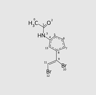 CC(=O)Nc1cccc(C(Br)=CBr)c1